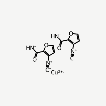 [C-]#[N+]c1ccoc1C([NH-])=O.[C-]#[N+]c1ccoc1C([NH-])=O.[Cu+2]